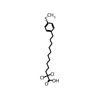 CSc1ccc(CCCCCCCCCCC(Cl)(Cl)C(=O)O)cc1